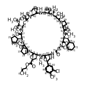 C=CCOC(=O)CC[C@H]1C(=O)NC2(CCCC2)C(=O)N(C)[C@@H](C2CCCC2)C(=O)N(C)[C@H](C(=O)N(C)C)CC(=O)N(C)[C@H](CC(C)C)C(=O)N[C@@H]([C@@H](C)CC)C(=O)N(C)[C@@H](C)C(=O)N2CC[C@H]2C(=O)N(C)[C@@H](CC2CCCCC2)C(=O)N(C)CC(=O)N[C@@H](CCc2ccc(C(F)(F)F)c(Cl)c2)C(=O)N1C